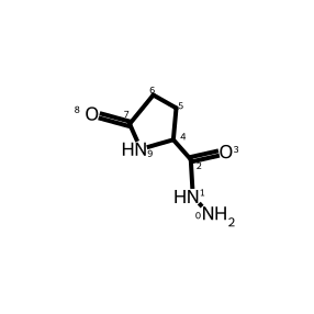 NNC(=O)C1CCC(=O)N1